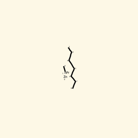 CCCC.CCCCCCC.[Zn]